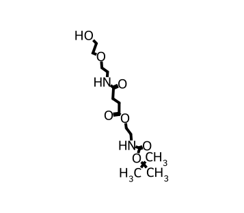 CC(C)(C)OC(=O)NCCOC(=O)CCC(=O)NCCOCCO